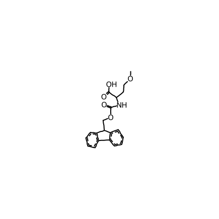 COCCC(NC(=O)OCC1c2ccccc2-c2ccccc21)C(=O)O